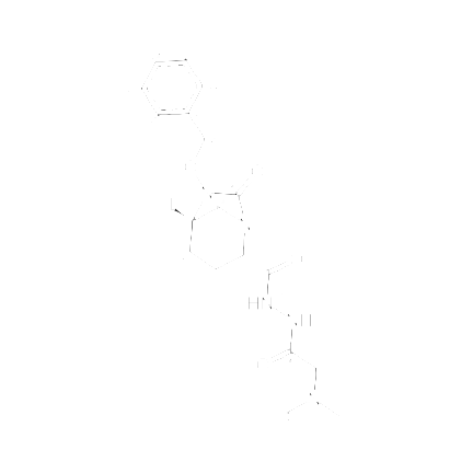 CN(C)CC(=O)NNC(=O)[C@@H]1CC[C@H]2CN1C(=O)N2OCc1ccccc1